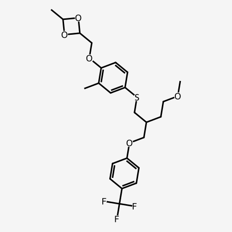 COCCC(COc1ccc(C(F)(F)F)cc1)CSc1ccc(OCC2OC(C)O2)c(C)c1